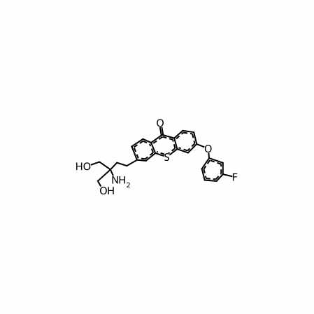 NC(CO)(CO)CCc1ccc2c(=O)c3ccc(Oc4cccc(F)c4)cc3sc2c1